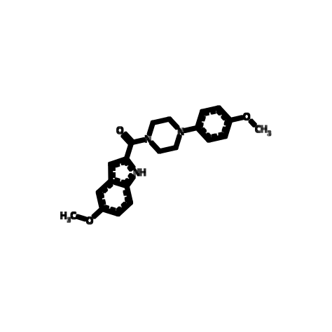 COc1ccc(N2CCN(C(=O)c3cc4cc(OC)ccc4[nH]3)CC2)cc1